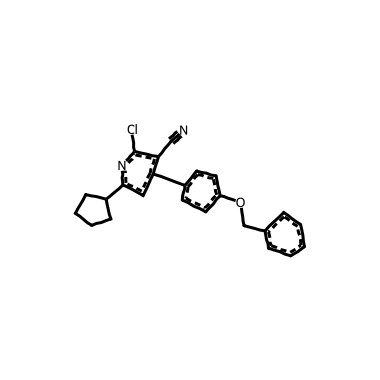 N#Cc1c(-c2ccc(OCc3ccccc3)cc2)cc(C2CCCC2)nc1Cl